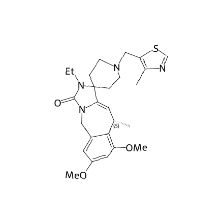 CCN1C(=O)N2Cc3cc(OC)cc(OC)c3[C@@H](C)C=C2C12CCN(Cc1scnc1C)CC2